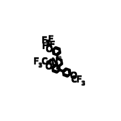 O[C@@H](CN1c2cccc(-c3ccc(OC(F)(F)F)cc3)c2CC[C@@H]1c1cccc(OC(F)(F)C(F)F)c1)C(F)(F)F